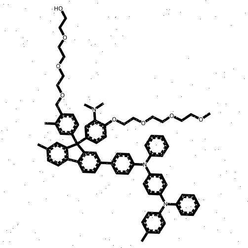 COCCOCCOCCOc1ccc(C2(c3ccc(COCCOCCOCCO)c(C)c3)c3cc(C)ccc3-c3ccc(-c4ccc(N(c5ccccc5)c5ccc(N(c6ccccc6)c6ccc(C)cc6)cc5)cc4)cc32)cc1N(C)C